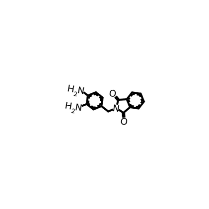 Nc1ccc(CN2C(=O)c3ccccc3C2=O)cc1N